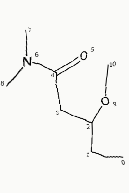 CCC(CC(=O)N(C)C)OC